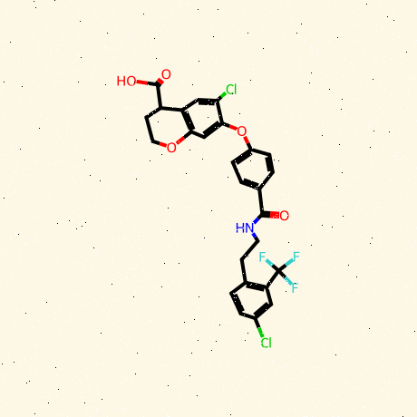 O=C(NCCc1ccc(Cl)cc1C(F)(F)F)c1ccc(Oc2cc3c(cc2Cl)C(C(=O)O)CCO3)cc1